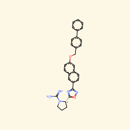 N=C(N)N1CCC[C@H]1c1nc(-c2ccc3cc(OCc4ccc(-c5ccccc5)cc4)ccc3c2)no1